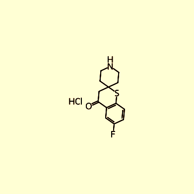 Cl.O=C1CC2(CCNCC2)Sc2ccc(F)cc21